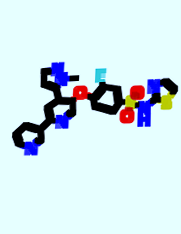 Cn1nccc1-c1cc(-c2cccnc2)ncc1Oc1ccc(S(=O)(=O)Nc2nccs2)cc1F